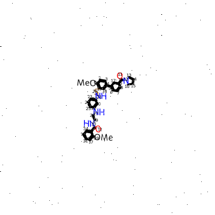 COc1ccc(-c2cccc(C(=O)N3CCCC3)c2)cc1SNc1cccc(NCCNC(=O)c2ccccc2OC)c1